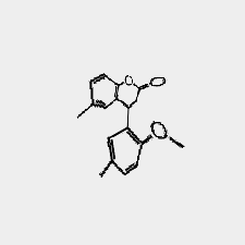 COc1ccc(C)cc1C1CC(=O)Oc2ccc(C)cc21